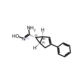 N/C(=N\O)[C@@H]1[C@H]2C=C(c3ccccc3)C[C@H]21